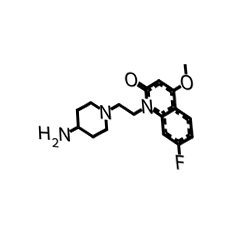 COc1cc(=O)n(CCN2CCC(N)CC2)c2cc(F)ccc12